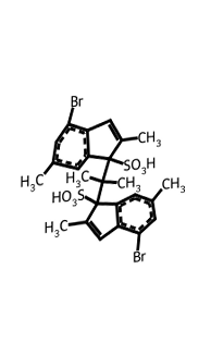 CC1=Cc2c(Br)cc(C)cc2C1(C(C)(C)C1(S(=O)(=O)O)C(C)=Cc2c(Br)cc(C)cc21)S(=O)(=O)O